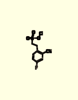 N#Cc1cc(F)ccc1CCS(=O)(=O)OCl